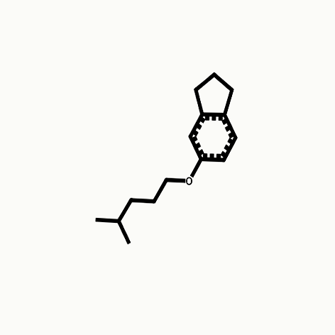 CC(C)CCCOc1ccc2c(c1)CCC2